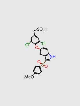 COc1ccc(S(=O)(=O)c2c[nH]c3ccc(Oc4c(Cl)cc(CS(=O)(=O)O)cc4Cl)cc23)cc1